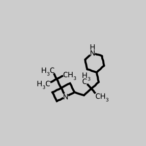 CC(C)(CC1CCNCC1)CC1CC2(C(C)(C)C)CCN12